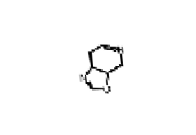 C1=NCC2OC=NC2C1